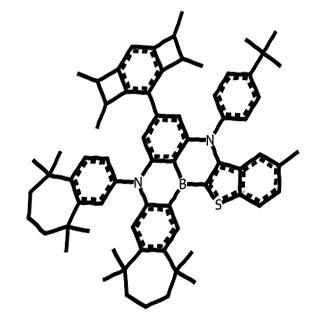 Cc1ccc2sc3c(c2c1)N(c1ccc(C(C)(C)C)cc1)c1cc(-c2c4c(cc5c2C(C)C5C)C(C)C4C)cc2c1B3c1cc3c(cc1N2c1ccc2c(c1)C(C)(C)CCCC2(C)C)C(C)(C)CCCC3(C)C